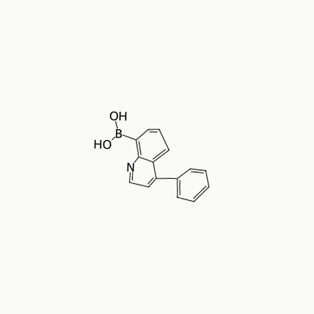 OB(O)c1cccc2c(-c3ccccc3)ccnc12